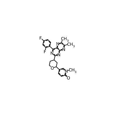 Cc1nc2nc(C3CCOC(c4ccc(=O)n(C)c4)C3)nc(-c3ccc(F)cc3F)c2nc1C